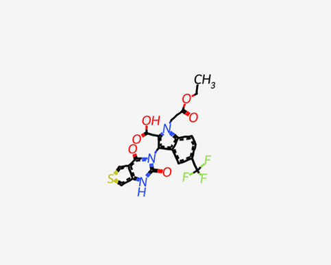 CCOC(=O)Cn1c(C(=O)O)c(-n2c(=O)[nH]c3cscc3c2=O)c2cc(C(F)(F)F)ccc21